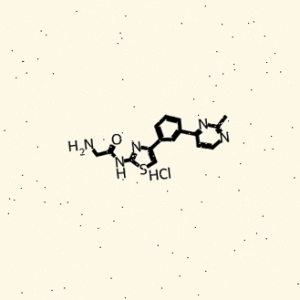 Cc1nccc(-c2cccc(-c3csc(NC(=O)CN)n3)c2)n1.Cl